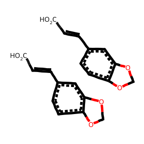 O=C(O)/C=C/c1ccc2c(c1)OCO2.O=C(O)/C=C/c1ccc2c(c1)OCO2